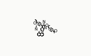 C=CC(=O)N1CCN(c2c(C#N)c(OC(C)CN3CCN(C(C)=O)CC3)nc3c2CCN(c2cccc4cccc(C)c24)C3)C[C@@H]1CC#N